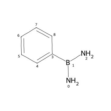 NB(N)c1ccccc1